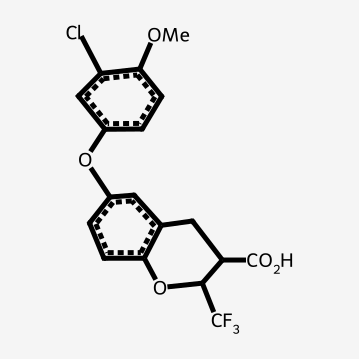 COc1ccc(Oc2ccc3c(c2)CC(C(=O)O)C(C(F)(F)F)O3)cc1Cl